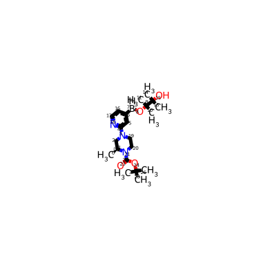 C[C@H]1CN(c2cc(BOC(C)(C)C(C)(C)O)ccn2)CCN1C(=O)OC(C)(C)C